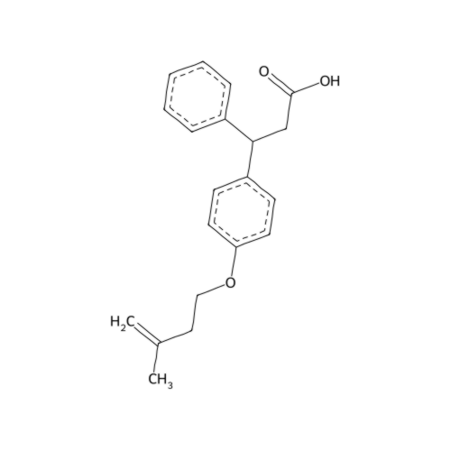 C=C(C)CCOc1ccc(C(CC(=O)O)c2ccccc2)cc1